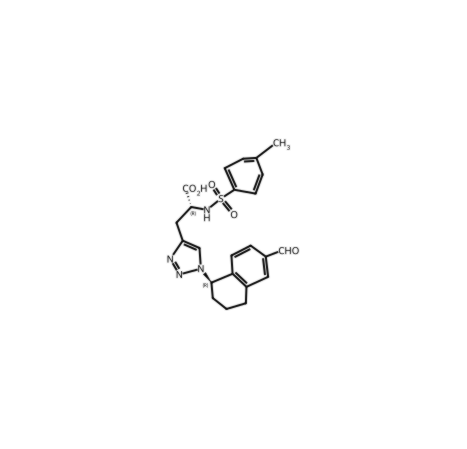 Cc1ccc(S(=O)(=O)N[C@H](Cc2cn([C@@H]3CCCc4cc(C=O)ccc43)nn2)C(=O)O)cc1